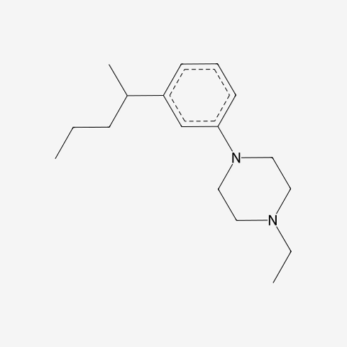 CCCC(C)c1cccc(N2CCN(CC)CC2)c1